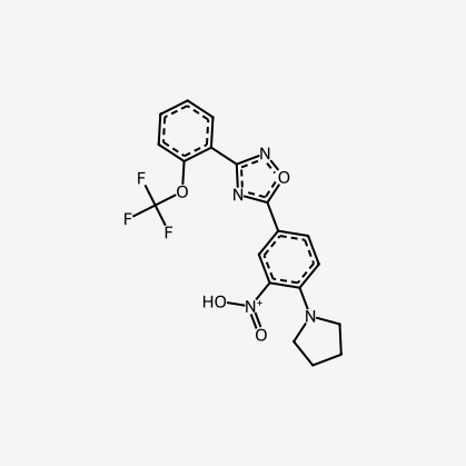 O=[N+](O)c1cc(-c2nc(-c3ccccc3OC(F)(F)F)no2)ccc1N1CCCC1